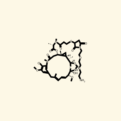 COc1cc2cc(c1Cl)N(C)C(=O)C[C@H](OC(=O)[C@H](C)N(C)C(=O)CCSC1CC(=O)N(CCOCCOCCN)C1=O)[C@]1(C)C[C@H]1[C@H](C)[C@@H]1C[C@@](O)(NC(=O)O1)[C@H](OC)/C=C/C=C(\C)C2